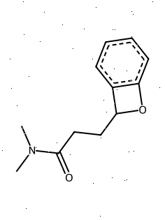 CN(C)C(=O)CCC1Oc2ccccc21